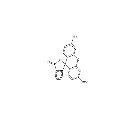 CNc1ccc2c(c1)Oc1cc(N)ccc1C21OC(=O)c2ccccc21